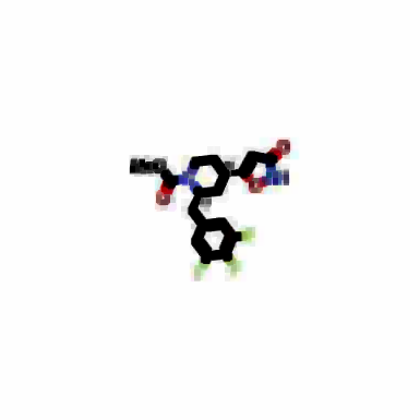 COC(=O)N1CC[C@H](c2cc(=O)[nH]o2)C[C@H]1Cc1cc(F)c(F)c(F)c1